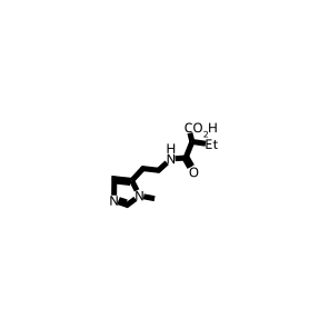 CCC(C(=O)O)C(=O)NCCc1cncn1C